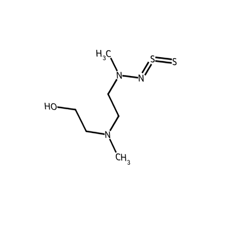 CN(CCO)CCN(C)N=S=S